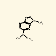 CN(P)c1ncc2ncn(C)c2n1